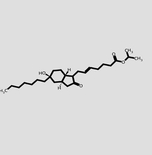 CCCCCCC[C@]1(O)CC[C@@H]2C(CC=CCCCC(=O)OC(C)C)C(=O)C[C@H]2C1